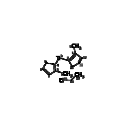 CC1=[C]([Ti][C]2=C(C)C=CC2)CC=C1.CCCl